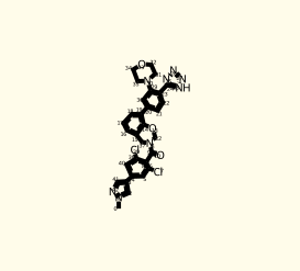 Cn1cc(-c2cc(Cl)c(C(=O)N3COc4c(cccc4-c4ccc(-c5nnn[nH]5)c(N5CCOCC5)c4)C3)c(Cl)c2)cn1